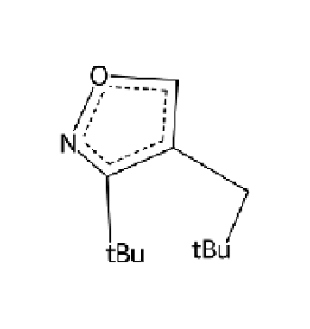 CC(C)(C)Cc1conc1C(C)(C)C